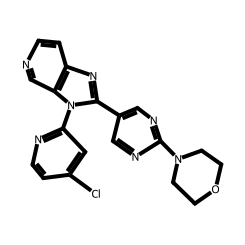 Clc1ccnc(-n2c(-c3cnc(N4CCOCC4)nc3)nc3ccncc32)c1